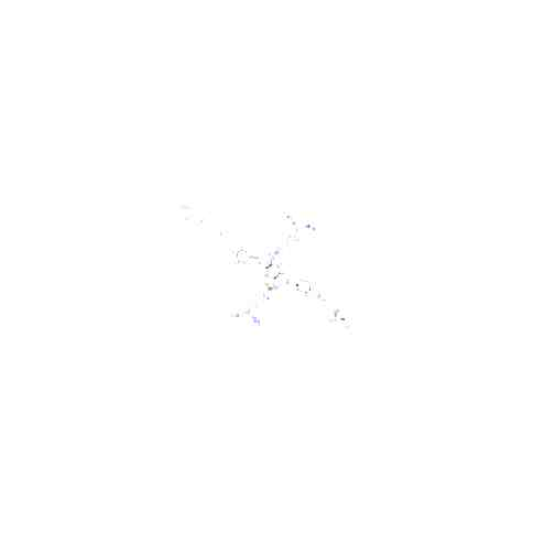 C=CC(=O)OCCCCCCOc1ccc(C(=O)Oc2c3nc(N/C=C/C=C(C#N)C#N)sc3c(OC(=O)c3ccc(OCCCOC(=O)C(=C)F)cc3)c3nc(N/C=C/C=C(C#N)C#N)sc23)cc1